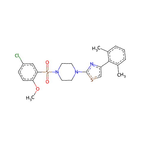 COc1ccc(Cl)cc1S(=O)(=O)N1CCN(c2nc(-c3c(C)cccc3C)cs2)CC1